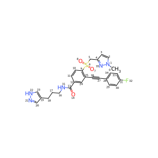 Cn1ccc(CS(=O)(=O)c2ccc(C(=O)NCCCc3cn[nH]c3)cc2C#Cc2ccc(F)cc2)n1